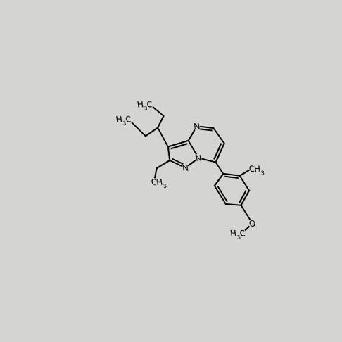 CCc1nn2c(-c3ccc(OC)cc3C)ccnc2c1C(CC)CC